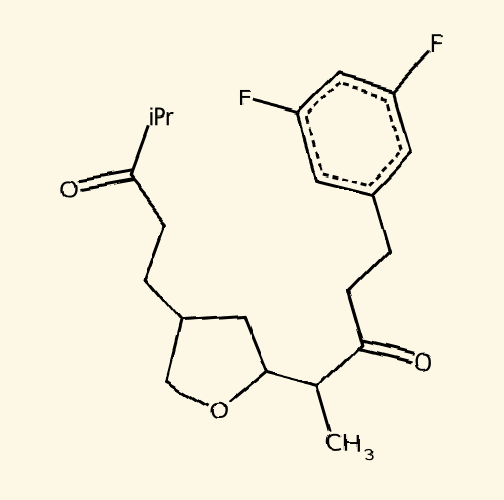 CC(C)C(=O)CCC1COC(C(C)C(=O)CCc2cc(F)cc(F)c2)C1